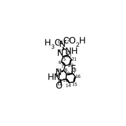 CN(C(=O)O)c1nc2cc(-c3n[nH]c(=O)c4cccc(F)c34)ccc2[nH]1